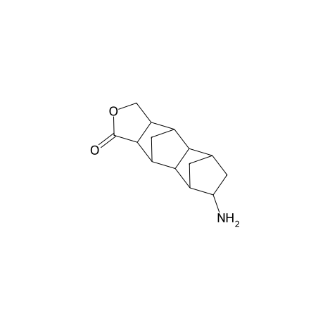 NC1CC2CC1C1C3CC(C4COC(=O)C43)C21